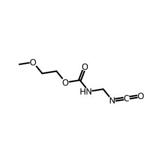 COCCOC(=O)NCN=C=O